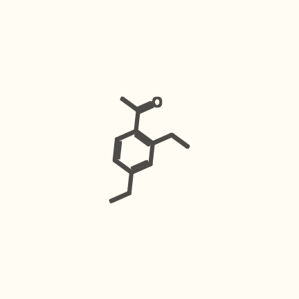 CCc1ccc(C(C)=O)c(CC)c1